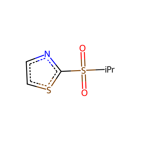 CC(C)S(=O)(=O)c1nccs1